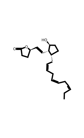 CC/C=C\C/C=C\C/C=C\C[C@H]1CC[C@H](O)[C@H]1/C=C/[C@H]1CCC(=O)O1